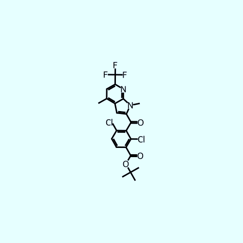 Cc1cc(C(F)(F)F)nc2c1cc(C(=O)c1c(Cl)ccc(C(=O)OC(C)(C)C)c1Cl)n2C